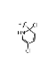 CC1(Cl)C=CC(Cl)=CN1